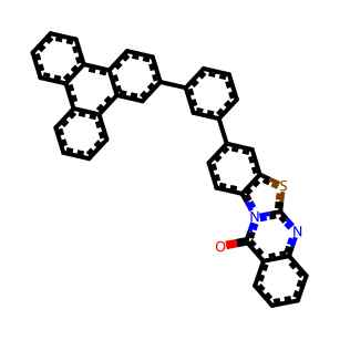 O=c1c2ccccc2nc2sc3cc(-c4cccc(-c5ccc6c7ccccc7c7ccccc7c6c5)c4)ccc3n12